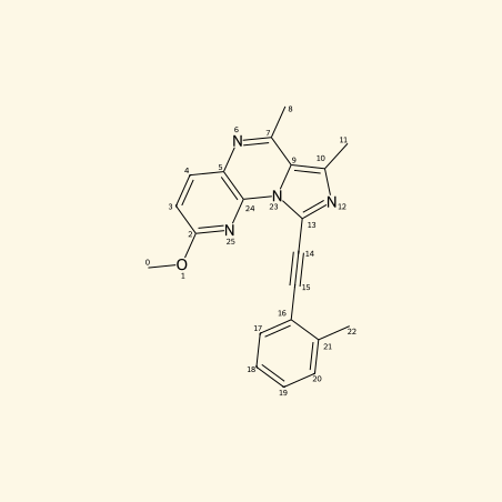 COc1ccc2nc(C)c3c(C)nc(C#Cc4ccccc4C)n3c2n1